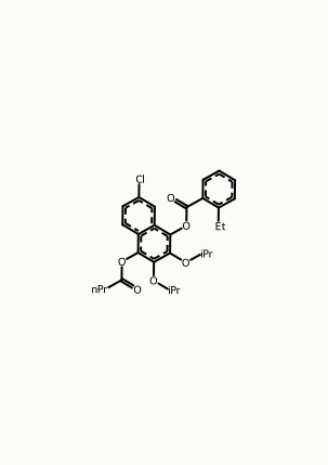 CCCC(=O)Oc1c(OC(C)C)c(OC(C)C)c(OC(=O)c2ccccc2CC)c2cc(Cl)ccc12